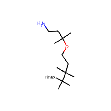 CCCCCCC(C)(C)C(C)(C)CCOC(C)(C)CCN